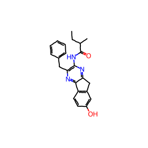 CCC(C)C(=O)Nc1nc2c(nc1Cc1ccccc1)-c1ccc(O)cc1C2